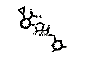 NC(=O)c1c(C2CC2)cccc1N1CC[C@@](O)(C(=O)NCc2cc(F)cc(Cl)c2)C1=O